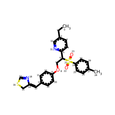 CCc1ccc(C(COc2ccc(C=C3CSC=N3)cc2)S(=O)(=O)c2ccc(C)cc2)nc1